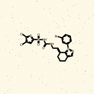 O=C(NCC=C1CCCc2cnn(-c3cccc(Br)c3)c21)NS(=O)(=O)c1cc(Cl)c(Cl)s1